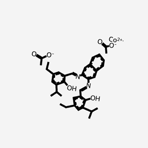 CC(=O)[O-].CC(=O)[O-].CCc1cc(C=Nc2cc3ccccc3cc2N=Cc2cc(CC)cc(C(C)C)c2O)c(O)c(C(C)C)c1.[Co+2]